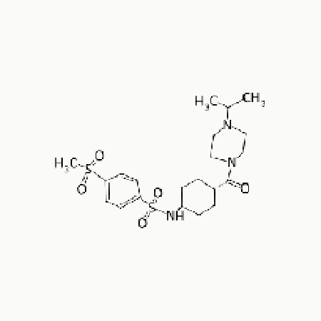 CC(C)N1CCN(C(=O)[C@H]2CC[C@H](NS(=O)(=O)c3ccc(S(C)(=O)=O)cc3)CC2)CC1